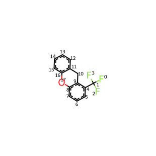 FC(F)(F)c1cccc2c1Cc1ccccc1O2